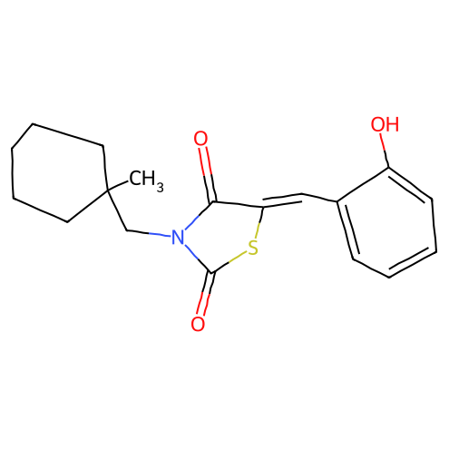 CC1(CN2C(=O)S/C(=C\c3ccccc3O)C2=O)CCCCC1